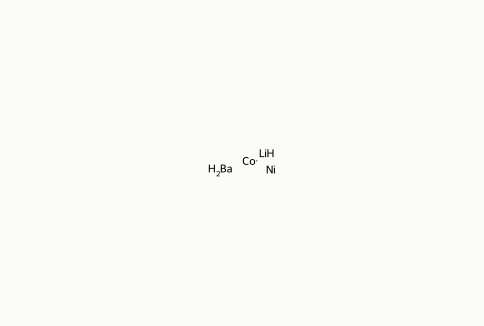 [BaH2].[Co].[LiH].[Ni]